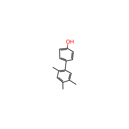 Cc1cc(C)c(-c2ccc(O)cc2)cc1C